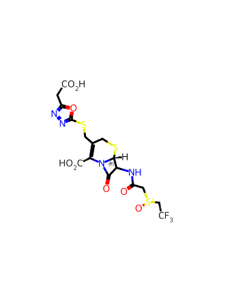 O=C(O)Cc1nnc(SCC2=C(C(=O)O)N3C(=O)C(NC(=O)C[S+]([O-])CC(F)(F)F)[C@H]3SC2)o1